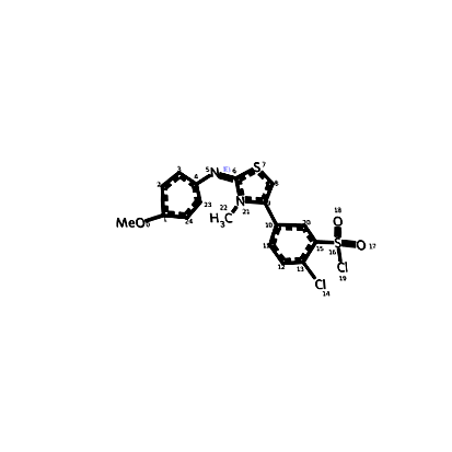 COc1ccc(/N=c2/scc(-c3ccc(Cl)c(S(=O)(=O)Cl)c3)n2C)cc1